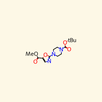 COC(=O)c1cnc(N2CCN(C(=O)OC(C)(C)C)CC2)o1